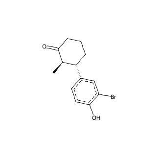 C[C@H]1C(=O)CCC[C@@H]1c1ccc(O)c(Br)c1